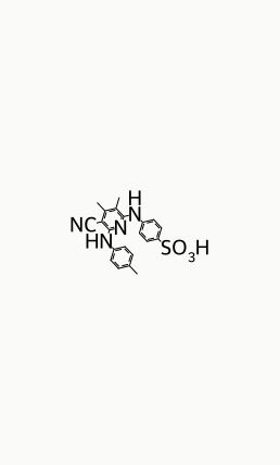 Cc1ccc(Nc2nc(Nc3ccc(S(=O)(=O)O)cc3)c(C)c(C)c2C#N)cc1